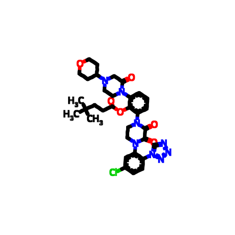 CC(C)(C)CCC(=O)Oc1c(N2CCN(C3CCOCC3)CC2=O)cccc1N1CCN(c2cc(Cl)ccc2-n2cnnn2)C(=O)C1=O